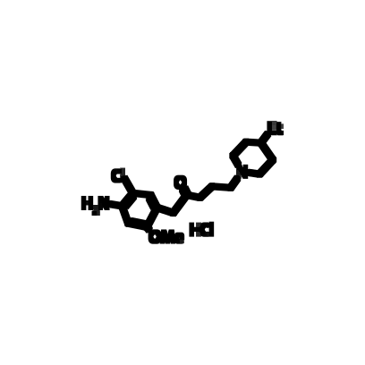 CCC1CCN(CCCC(=O)Cc2cc(Cl)c(N)cc2OC)CC1.Cl